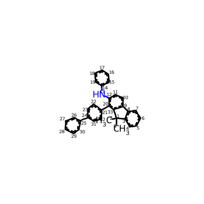 CC1(C)c2ccccc2-c2ccc(Nc3ccccc3)c(-c3ccc(-c4ccccc4)cc3)c21